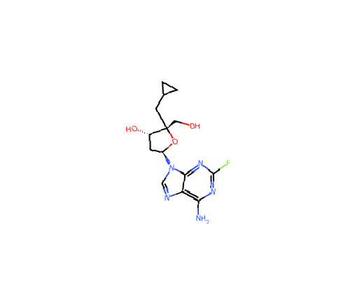 Nc1nc(F)nc2c1ncn2[C@H]1C[C@H](O)[C@](CO)(CC2CC2)O1